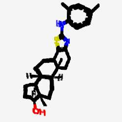 Cc1ccc(Nc2nc3c(s2)C2=CC[C@H]4[C@@H]5CC[C@H](O)[C@@]5(C)CC[C@@H]4[C@@]2(C)CC3)c(C)c1